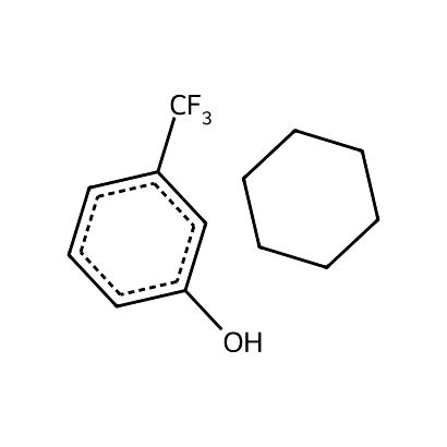 C1CCCCC1.Oc1cccc(C(F)(F)F)c1